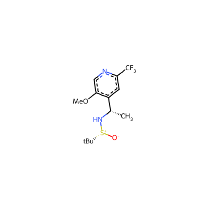 COc1cnc(C(F)(F)F)cc1[C@H](C)N[S@+]([O-])C(C)(C)C